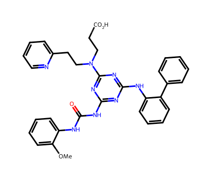 COc1ccccc1NC(=O)Nc1nc(Nc2ccccc2-c2ccccc2)nc(N(CCC(=O)O)CCc2ccccn2)n1